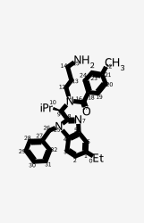 CCc1ccc2c(c1)nc([C@@H](C(C)C)N(CCCN)C(=O)c1ccc(C)cc1)n2Cc1ccccc1